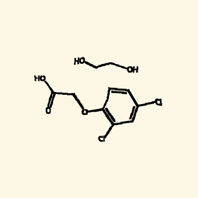 O=C(O)COc1ccc(Cl)cc1Cl.OCCO